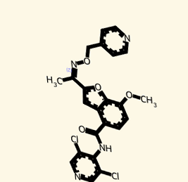 COc1ccc(C(=O)Nc2c(Cl)cncc2Cl)c2cc(/C(C)=N\OCc3ccncc3)oc12